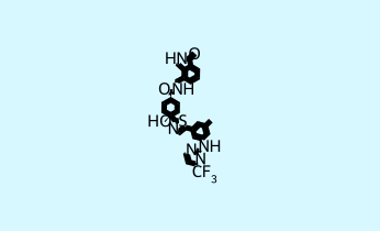 Cc1cc(Nc2nccc(C(F)(F)F)n2)cc(-c2cnc([C@]3(O)CC[C@@H](C(=O)NCc4cccc5c4CNC5=O)CC3)s2)c1